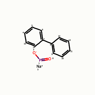 O=P[O-].[Na+].c1ccc(-c2ccccc2)cc1